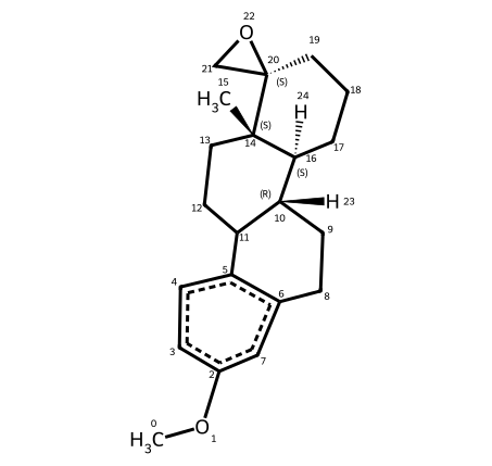 COc1ccc2c(c1)CC[C@@H]1C2CC[C@@]2(C)[C@H]1CCC[C@@]21CO1